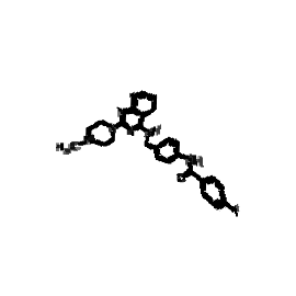 CN1CCN(c2nc(NCc3ccc(NC(=O)c4ccc(F)cc4)cc3)c3ccccc3n2)CC1